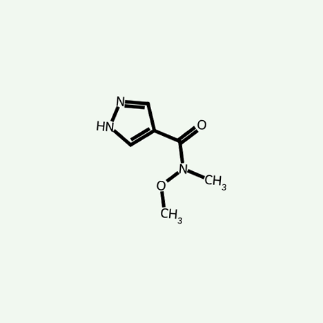 CON(C)C(=O)c1cn[nH]c1